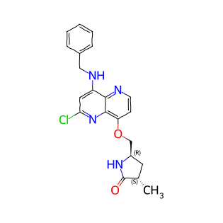 C[C@H]1C[C@H](COc2ccnc3c(NCc4ccccc4)cc(Cl)nc23)NC1=O